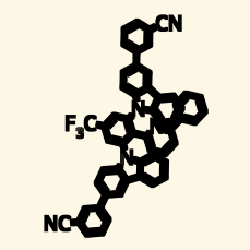 N#Cc1cccc(-c2ccc3c(c2)c2ccccc2n3-c2cc(C(F)(F)F)cc(-n3c4ccccc4c4cc(-c5cccc(C#N)c5)ccc43)c2-c2cccc(-c3ccccc3)n2)c1